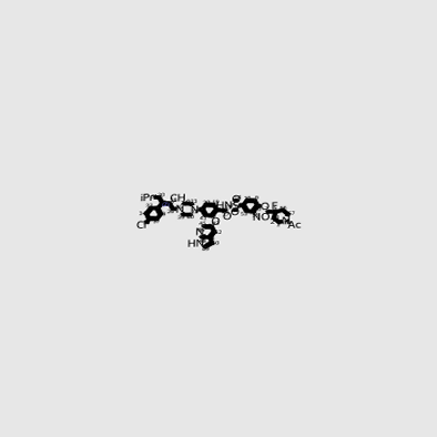 CC(=O)N1CCC(F)(COc2ccc(S(=O)(=O)NC(=O)c3ccc(N4CCN(C/C(C)=C(/CC(C)C)c5ccc(Cl)cc5)CC4)cc3Oc3cnc4[nH]ccc4c3)cc2[N+](=O)[O-])CC1